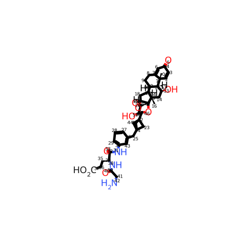 C[C@]12C=CC(=O)C=C1CC[C@@H]1[C@@H]2[C@@H](O)C[C@@]2(C)[C@H]1C[C@H]1O[C@@H](C34CC(Cc5cccc(NC(=O)[C@H](CCC(=O)O)NC(=O)CN)c5)(C3)C4)O[C@]12C(=O)CO